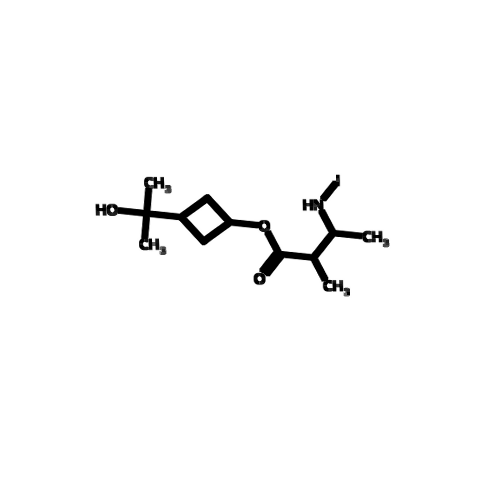 CC(NI)C(C)C(=O)OC1CC(C(C)(C)O)C1